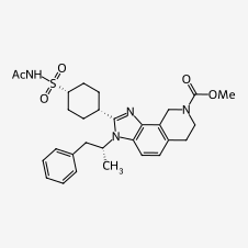 COC(=O)N1CCc2ccc3c(nc([C@H]4CC[C@@H](S(=O)(=O)NC(C)=O)CC4)n3[C@H](C)Cc3ccccc3)c2C1